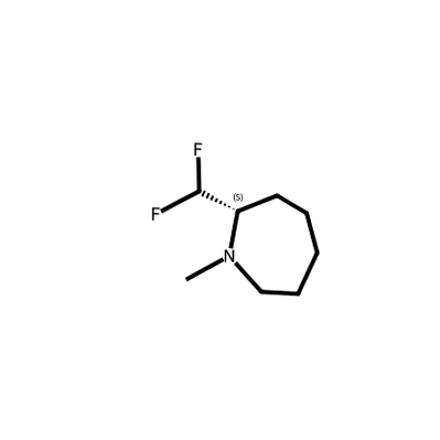 CN1CCCCC[C@H]1C(F)F